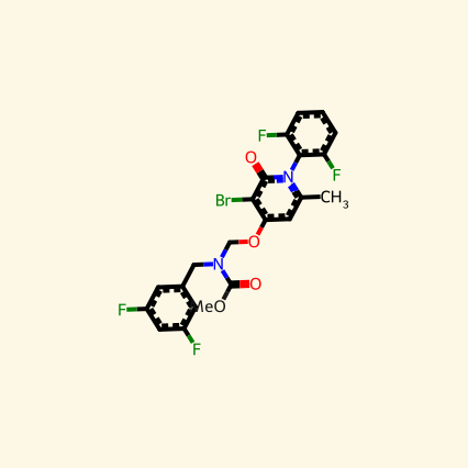 COC(=O)N(COc1cc(C)n(-c2c(F)cccc2F)c(=O)c1Br)Cc1cc(F)cc(F)c1